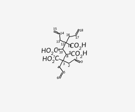 C=CCC(CC=C)(C(=O)O)C(C(=O)O)C(C(=O)O)C(CC=C)(CC=C)C(=O)O